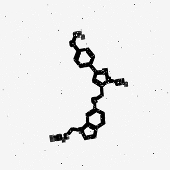 CCOC(=O)Cn1ccc2ccc(OCc3cc(-c4ccc(OC(F)(F)F)cc4)nn3C)cc21